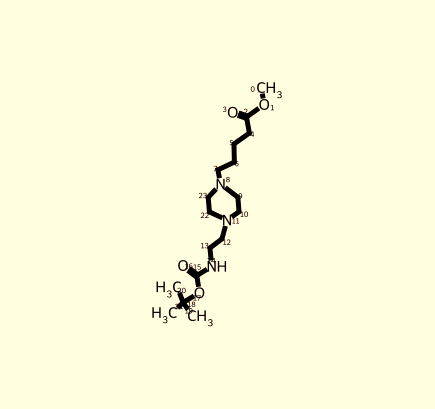 COC(=O)CCCCN1CCN(CCNC(=O)OC(C)(C)C)CC1